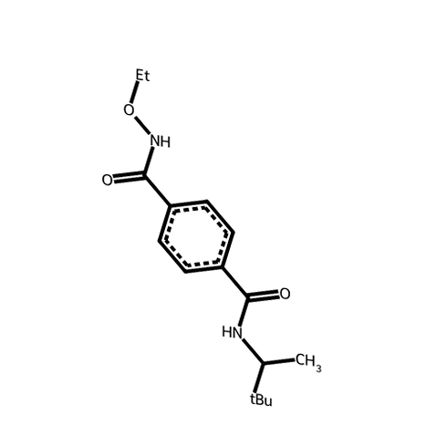 CCONC(=O)c1ccc(C(=O)NC(C)C(C)(C)C)cc1